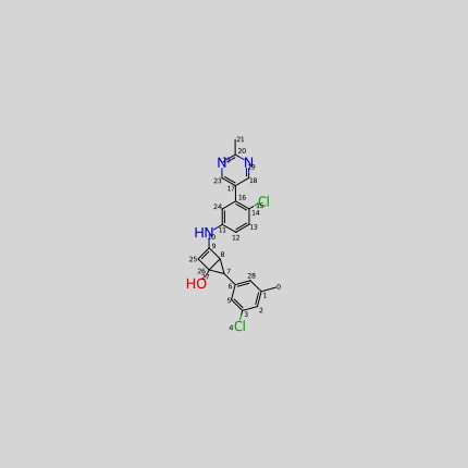 Cc1cc(Cl)cc(C2C3C(Nc4ccc(Cl)c(-c5cnc(C)nc5)c4)=CC32O)c1